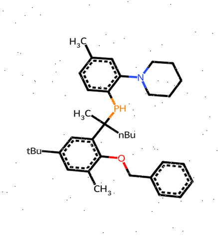 CCCCC(C)(Pc1ccc(C)cc1N1CCCCC1)c1cc(C(C)(C)C)cc(C)c1OCc1ccccc1